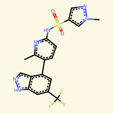 Cc1nc(NS(=O)(=O)c2cnn(C)c2)ccc1-c1cc(C(F)(F)F)cc2[nH]ncc12